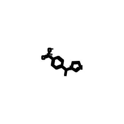 CC(c1ccc([N+](=O)[O-])cc1)n1ccnc1